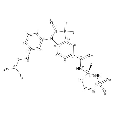 CC1(C)C(=O)N(c2cccc(OCC(F)F)c2)c2ccc(C(=O)N[C@@]3(C)CC=CS(=O)(=O)N3)cc21